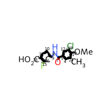 COc1c(C)cc(C(=O)Nc2ccc(C(=O)O)c(F)c2)cc1Cl